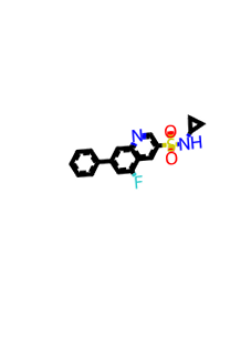 O=S(=O)(NC1CC1)c1cnc2cc(-c3ccccc3)cc(F)c2c1